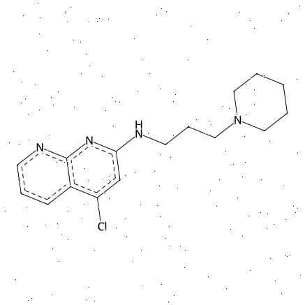 Clc1cc(NCCCN2CCCCC2)nc2ncccc12